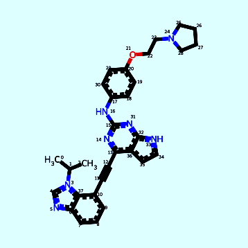 CC(C)n1cnc2cccc(C#Cc3nc(Nc4ccc(OCCN5CCCC5)cc4)nc4[nH]ccc34)c21